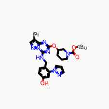 CC(C)c1cnn2c(NCc3ccc(O)cc3-n3cccn3)nc(OC3CCCN(C(=O)OC(C)(C)C)C3)nc12